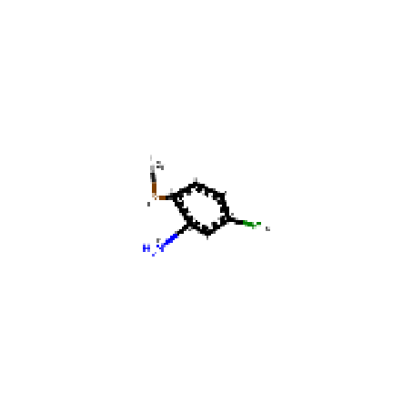 CCCSc1ccc(F)cc1N